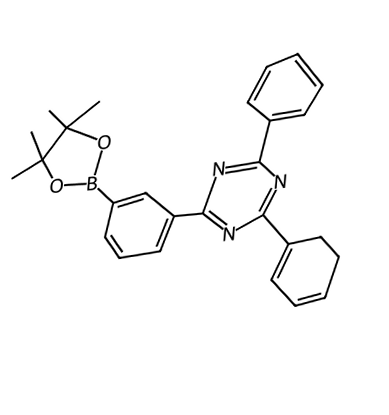 CC1(C)OB(c2cccc(-c3nc(C4=CC=CCC4)nc(-c4ccccc4)n3)c2)OC1(C)C